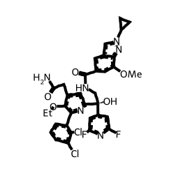 CCOc1c(CC(N)=O)cc([C@@](O)(CNC(=O)c2cc(OC)c3nn(C4CC4)cc3c2)c2cc(F)nc(F)c2)nc1-c1cccc(Cl)c1Cl